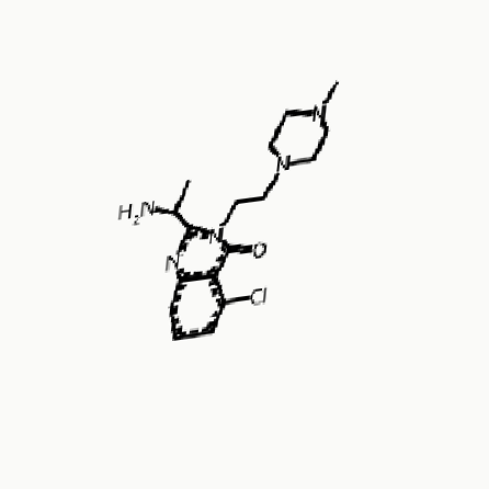 CC(N)c1nc2cccc(Cl)c2c(=O)n1CCN1CCN(C)CC1